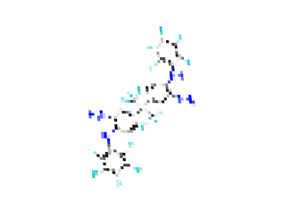 Nc1cc(C(c2ccc(Nc3c(F)c(F)c(F)c(F)c3F)c(N)c2)(C(F)(F)F)C(F)(F)F)ccc1Nc1c(F)c(F)c(F)c(F)c1F